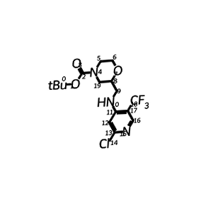 CC(C)(C)OC(=O)N1CCOC(CNc2cc(Cl)ncc2C(F)(F)F)C1